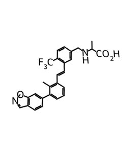 Cc1c(/C=C/c2cc(CNC(C)C(=O)O)ccc2C(F)(F)F)cccc1-c1ccc2cnoc2c1